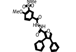 CNS(=O)(=O)c1cc(C(=O)NNC(=O)c2occ(-c3ccccc3)c2-c2ccccc2)ccc1OC